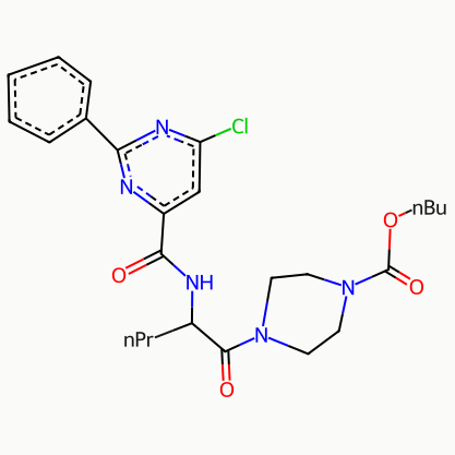 CCCCOC(=O)N1CCN(C(=O)C(CCC)NC(=O)c2cc(Cl)nc(-c3ccccc3)n2)CC1